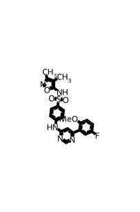 COc1ccc(F)cc1-c1cc(Nc2ccc(S(=O)(=O)Nc3onc(C)c3C)cc2)ncn1